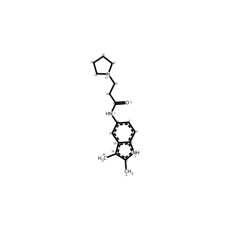 Cc1[nH]c2ccc(NC(=O)CCN3CCCC3)cc2c1C